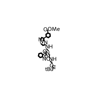 COC(=O)c1cccc(-c2cnn3ccc(NCCN(CCNCCO[Si](C)(C)C(C)(C)C)S(=O)(=O)c4ccccc4[N+](=O)[O-])nc23)c1